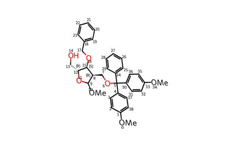 COc1ccc(C(OC[C@H]2C(OC)O[C@H](CO)[C@H]2OCc2ccccc2)(c2ccccc2)c2ccc(OC)cc2)cc1